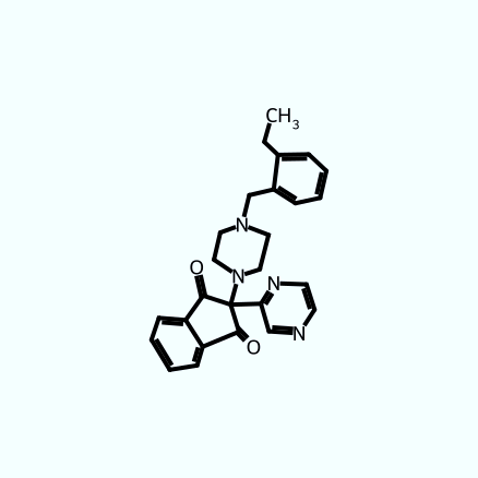 CCc1ccccc1CN1CCN(C2(c3cnccn3)C(=O)c3ccccc3C2=O)CC1